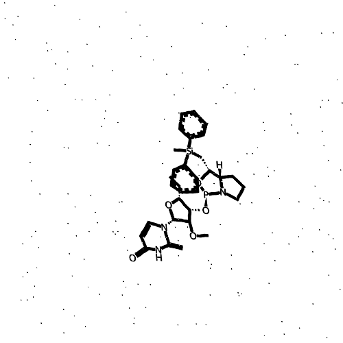 C=C1NC(=O)C=CN1[C@@H]1O[C@H](CC)[C@H](O[P@@]2O[C@H](C[Si](C)(c3ccccc3)c3ccccc3)[C@@H]3CCCN32)C1OC